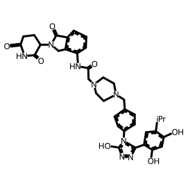 CC(C)c1cc(-c2nnc(O)n2-c2ccc(CN3CCN(CC(=O)Nc4cccc5c4CN(C4CCC(=O)NC4=O)C5=O)CC3)cc2)c(O)cc1O